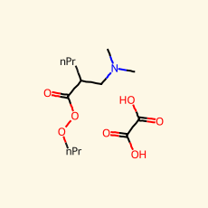 CCCOOC(=O)C(CCC)CN(C)C.O=C(O)C(=O)O